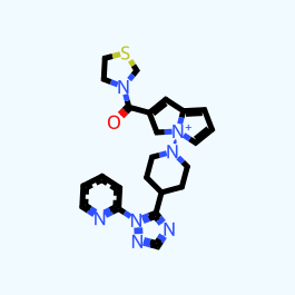 O=C(C1=CC2=CC=C[N@@+]2(N2CCC(c3ncnn3-c3ccccn3)CC2)C1)N1CCSC1